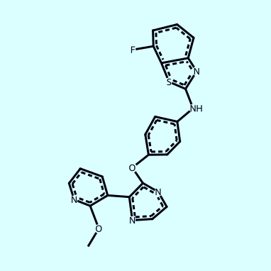 COc1ncccc1-c1nccnc1Oc1ccc(Nc2nc3cccc(F)c3s2)cc1